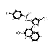 CCc1ccc([S+]([O-])Nc2cc(C)nn2-c2cc(C)nc3ccccc23)cc1